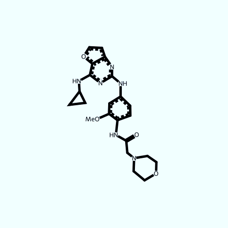 COc1cc(Nc2nc(NC3CC3)c3occc3n2)ccc1NC(=O)CN1CCOCC1